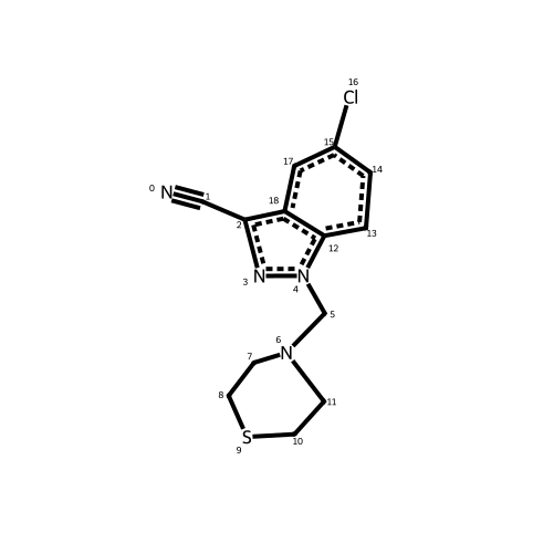 N#Cc1nn(CN2CCSCC2)c2ccc(Cl)cc12